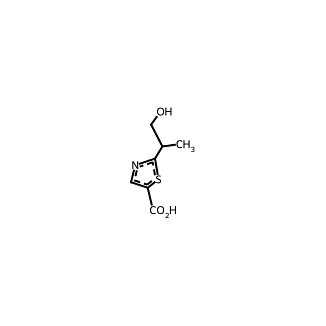 CC(CO)c1ncc(C(=O)O)s1